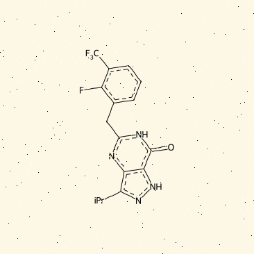 CC(C)c1n[nH]c2c(=O)[nH]c(Cc3cccc(C(F)(F)F)c3F)nc12